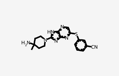 CC1(N)CCN(c2nc3nc(Sc4cccc(C#N)c4)cnc3[nH]2)CC1